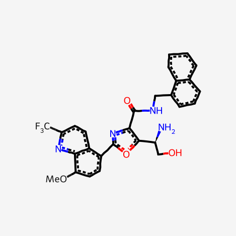 COc1ccc(-c2nc(C(=O)NCc3cccc4ccccc34)c([C@@H](N)CO)o2)c2ccc(C(F)(F)F)nc12